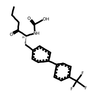 CCCC(=O)[C@@H](Cc1ccc(-c2ccc(C(F)(F)F)cc2)cc1)NC(=O)O